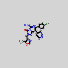 Nc1nc(-c2ccc(F)cc2)c(-c2ccnnc2)c2nn(Cc3ncoc3C(F)(F)F)c(=O)n12